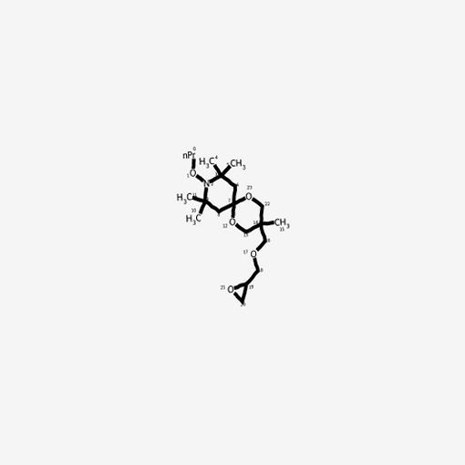 CCCON1C(C)(C)CC2(CC1(C)C)OCC(C)(COCC1CO1)CO2